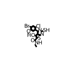 CCNC(=O)c1sc2nc(S)nc(-c3cc(OC)c(Br)cc3Cl)c2c1O